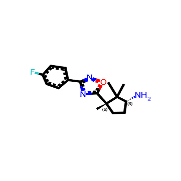 CC1(C)[C@H](N)CC[C@]1(C)c1nc(-c2ccc(F)cc2)no1